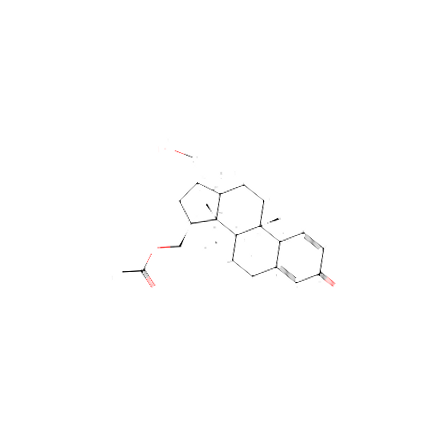 CC(=O)OC[C@H]1C[C@H](CO)[C@@]2(C)CC[C@H]3[C@@H](CCC4=CC(=O)C=C[C@@]43C)[C@H]12